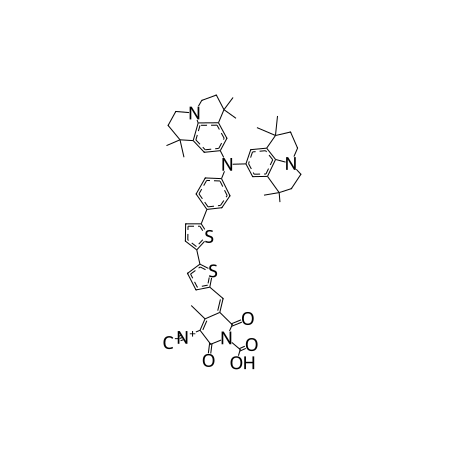 [C-]#[N+]C1=C(C)/C(=C\c2ccc(-c3ccc(-c4ccc(N(c5cc6c7c(c5)C(C)(C)CCN7CCC6(C)C)c5cc6c7c(c5)C(C)(C)CCN7CCC6(C)C)cc4)s3)s2)C(=O)N(C(=O)O)C1=O